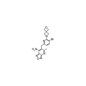 Cc1nc2nonc2c(N)c1Cc1ccc(Br)c(N2CC3(COC3)C2)n1